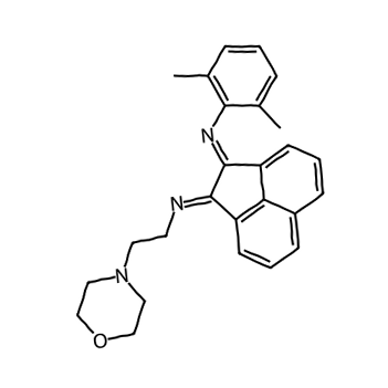 Cc1cccc(C)c1/N=C1/C(=N/CCN2CCOCC2)c2cccc3cccc1c23